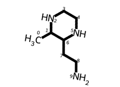 CC1NCCNC1CCN